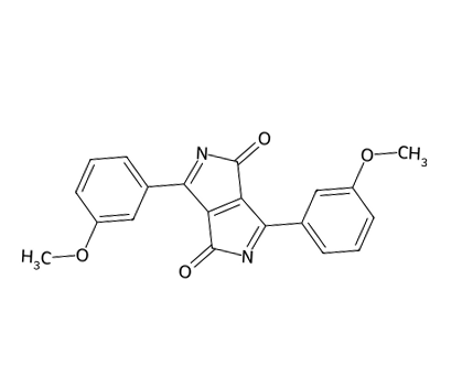 COc1cccc(-c2nc(=O)c3c(-c4cccc(OC)c4)nc(=O)c2=3)c1